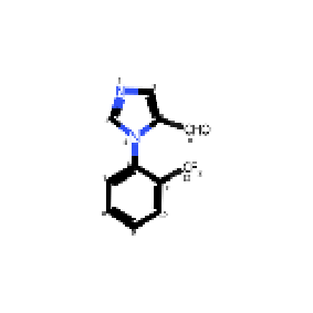 O=Cc1cncn1-c1ccccc1C(F)(F)F